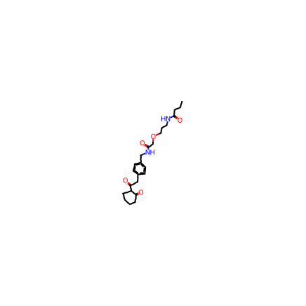 CCCC(=O)NCCCOCC(=O)NCc1ccc(CC(=O)C2CCCCC2=O)cc1